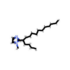 CCCCCCCCCCCC(CCCC)c1nccn1C